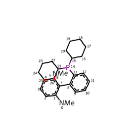 CNc1cccc(NC)c1-c1ccccc1P(C1CCCCC1)C1CCCCC1